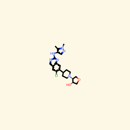 Cc1c(Nc2ncc3cc(Cl)c(C4CCN([C@H]5COC[C@H]5O)CC4)cc3n2)cnn1C